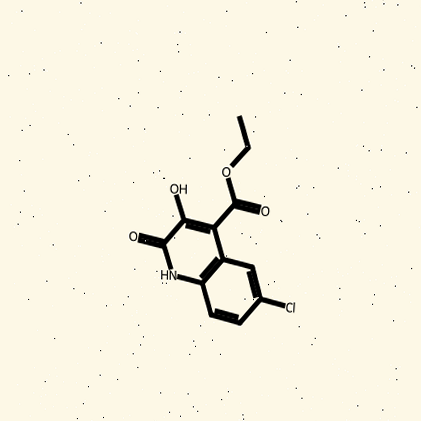 CCOC(=O)c1c(O)c(=O)[nH]c2ccc(Cl)cc12